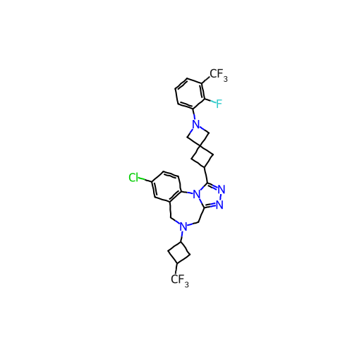 Fc1c(N2CC3(CC(c4nnc5n4-c4ccc(Cl)cc4CN(C4CC(C(F)(F)F)C4)C5)C3)C2)cccc1C(F)(F)F